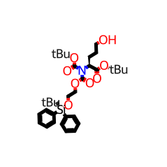 CC(C)(C)OC(=O)[C@H](CCCO)N(C(=O)OCCO[Si](c1ccccc1)(c1ccccc1)C(C)(C)C)C(=O)OC(C)(C)C